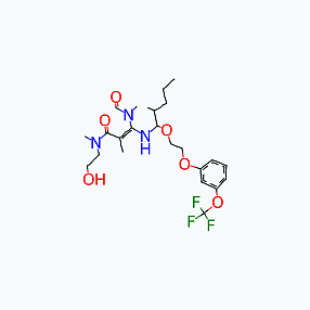 CCCC(C)C(N/C(=C(\C)C(=O)N(C)CCO)N(C)C=O)OCCOc1cccc(OC(F)(F)F)c1